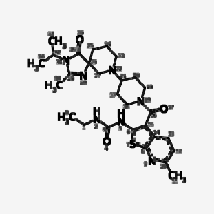 CCNC(=O)Nc1sc2nc(C)ccc2c1C(=O)N1CCC(N2CCCC3(C2)N=C(C)N(C(C)C)C3=O)CC1